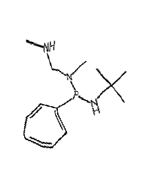 CNCN(C)P(NC(C)(C)C)c1ccccc1